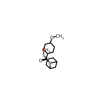 COC1CCC(C(=O)N2C3CC2CN(SC)C3)CC1